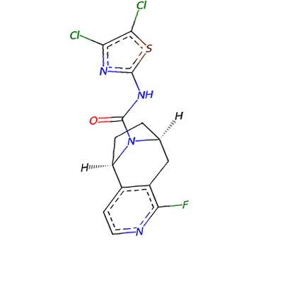 O=C(Nc1nc(Cl)c(Cl)s1)N1[C@H]2CC[C@@H]1c1ccnc(F)c1C2